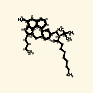 CCCCCCCCC(=O)N(Cc1ccc(Cn2c(CCCC)nc3c(N)nc4ccccc4c32)cc1)C(C)(C)C